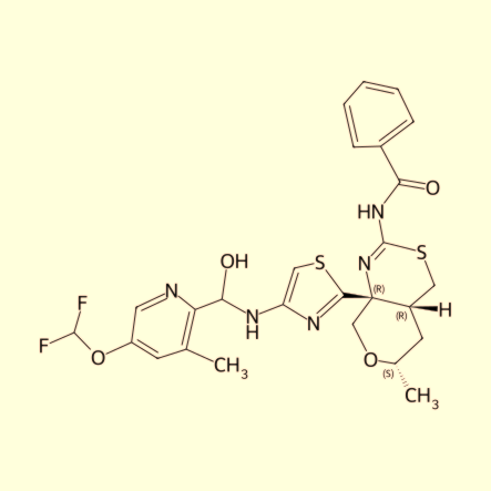 Cc1cc(OC(F)F)cnc1C(O)Nc1csc([C@]23CO[C@@H](C)C[C@H]2CSC(NC(=O)c2ccccc2)=N3)n1